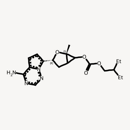 CCC(CC)COC(=O)OC1C2C[C@H](c3ccc4c(N)ncnn34)O[C@@]21C